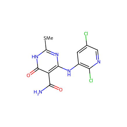 CSc1nc(Nc2cc(Cl)cnc2Cl)c(C(N)=O)c(=O)[nH]1